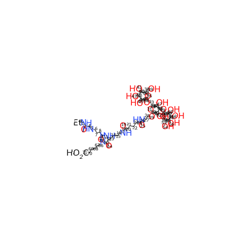 CCNC(=O)CNCCCC(=O)NC(CCCCNC(=O)CCCCC(=O)NCCO[C@H]1O[C@H](CO[C@H]2O[C@H](CO)[C@@H](O)[C@H](O)[C@@H]2O)[C@@H](O)[C@H](O[C@@H]2O[C@@H](CO)[C@H](O)[C@@H](O)[C@H]2O)[C@@H]1O)C(=O)NCCCCCC(=O)O